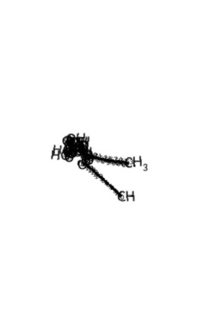 C#CC#CC#CC#CC#CC#CC#CC#CC(=O)OC[C@H](COP(=O)(O)OC1C(O)[C@H](OP(=O)(O)O)[C@H](O)C(OP(=O)(O)O)[C@@H]1O)OC(=O)CCCCCCCCCCCCCCC